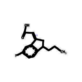 CCCC1C/C(=C/C(=O)O)c2cc(F)ccc21